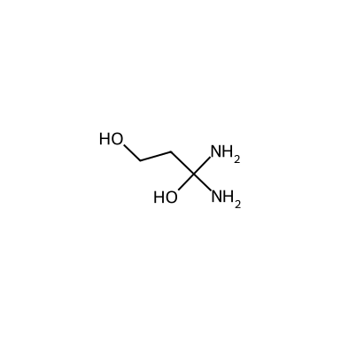 NC(N)(O)CCO